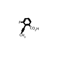 CC#Cc1c(F)cccc1C(=O)O